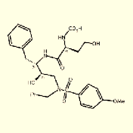 COc1ccc(S(=O)(=O)N(CC(C)C)C[C@@H](O)[C@H](Cc2ccccc2)NC(=O)[C@H](CCO)NC(=O)O)cc1